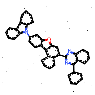 c1ccc(-c2nc(-c3cc4oc5cc(-n6c7ccccc7c7ccccc76)ccc5c4c4ccccc34)nc3ccccc23)cc1